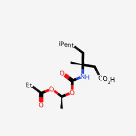 CCCC(C)C[C@](C)(CC(=O)O)NC(=O)O[C@@H](C)OC(=O)CC